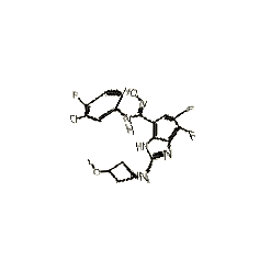 O/N=C(\Nc1ccc(F)c(Cl)c1)c1cc(F)c(F)c2nc(NC3CC(OI)C3)[nH]c12